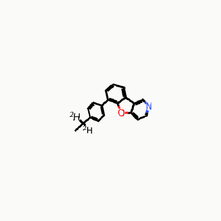 [2H]C([2H])(C)c1ccc(-c2cccc3c2oc2ccncc23)cc1